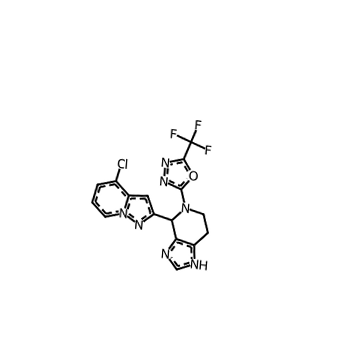 FC(F)(F)c1nnc(N2CCc3[nH]cnc3C2c2cc3c(Cl)cccn3n2)o1